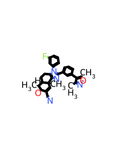 Cc1noc(C)c1-c1cccc(-c2nc3c(n2-c2cccc(F)c2)CC[C@@H]2[C@@H](C)C(=O)C(C#N)=C[C@@]32C)c1